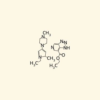 CCN1C=CC(N2CCN(C)CC2)=CC1C.CCOC(=O)c1cncc2nn[nH]c12